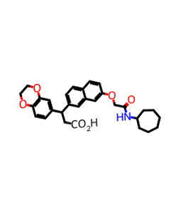 O=C(O)CC(c1ccc2c(c1)OCCO2)c1ccc2ccc(OCC(=O)NC3CCCCCC3)cc2c1